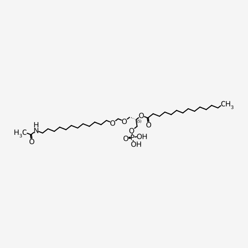 CCCCCCCCCCCCCC(=O)O[C@@H](COCOCCCCCCCCCCCCNC(C)=O)COP(=O)(O)O